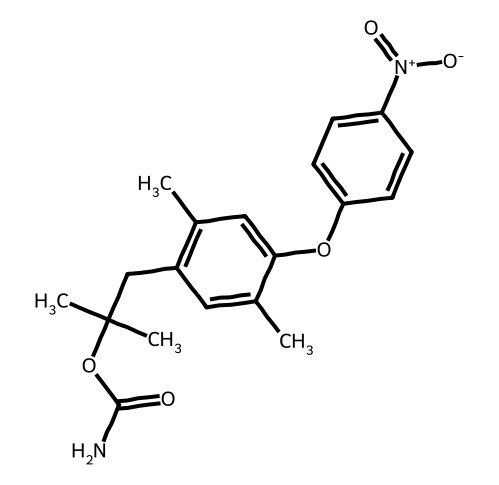 Cc1cc(Oc2ccc([N+](=O)[O-])cc2)c(C)cc1CC(C)(C)OC(N)=O